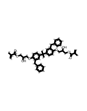 C=C(C)C(=O)OCC(O)COc1ccc(C(C)(C)c2ccc(OCC(O)COC(=O)C(=C)C)c(Cc3ccccc3)c2)cc1Cc1ccccc1